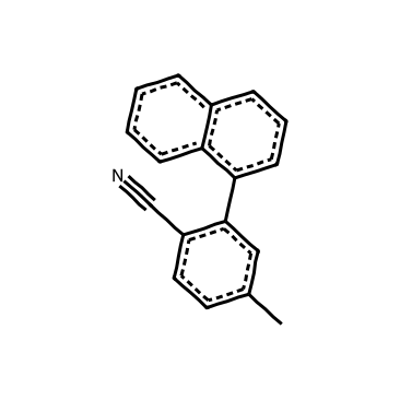 Cc1ccc(C#N)c(-c2cccc3ccccc23)c1